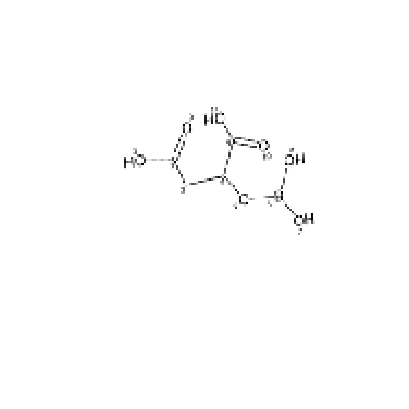 O=C(O)CC(OB(O)O)C(=O)O